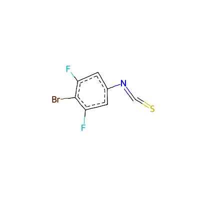 Fc1cc(N=C=S)cc(F)c1Br